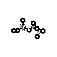 c1ccc(-c2nc(-c3ccc4ccccc4c3)nc(-c3cccc(-n4c5ccccc5c5cc6c7ccccc7n(-c7ccccc7)c6cc54)n3)n2)cc1